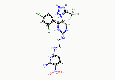 Nc1nc(NCCNc2ncc(-n3nnnc3C(F)(F)F)c(-c3ccc(Cl)cc3Cl)n2)ccc1[N+](=O)[O-]